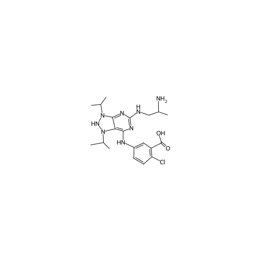 CC(N)CNc1nc(Nc2ccc(Cl)c(C(=O)O)c2)c2c(n1)N(C(C)C)NN2C(C)C